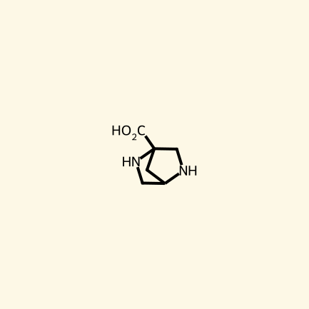 O=C(O)C12CNC(CN1)C2